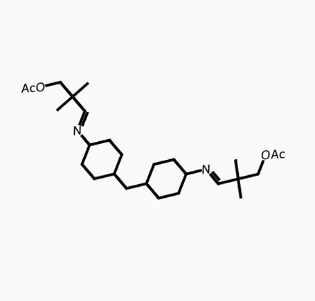 CC(=O)OCC(C)(C)C=NC1CCC(CC2CCC(N=CC(C)(C)COC(C)=O)CC2)CC1